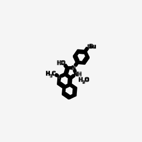 CN1C=c2ccccc2=C2NN(c3ccc(C(C)(C)C)cc3)C(O)=C21.O